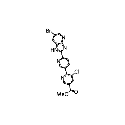 COC(=O)c1cnc(-c2ccc(-c3nc4ncc(Br)cc4[nH]3)nc2)c(Cl)c1